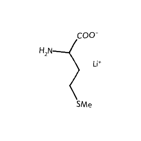 CSCCC(N)C(=O)[O-].[Li+]